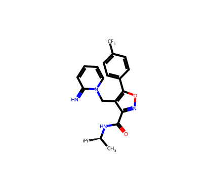 CC(C)[C@H](C)NC(=O)c1noc(-c2ccc(C(F)(F)F)cc2)c1Cn1ccccc1=N